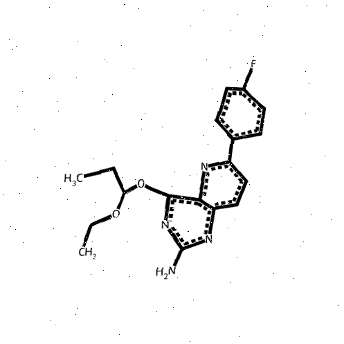 CCOC(CC)Oc1nc(N)nc2ccc(-c3ccc(F)cc3)nc12